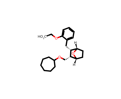 O=C(O)COc1ccccc1C[C@H]1[C@@H](COC2CCCCCC2)[C@H]2CC[C@@H]1O2